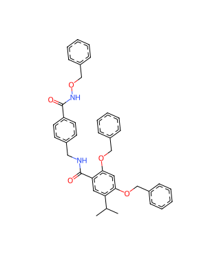 CC(C)c1cc(C(=O)NCc2ccc(C(=O)NOCc3ccccc3)cc2)c(OCc2ccccc2)cc1OCc1ccccc1